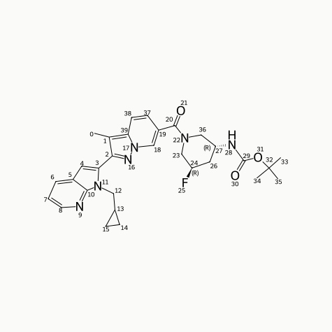 Cc1c(-c2cc3cccnc3n2CC2CC2)nn2cc(C(=O)N3C[C@H](F)C[C@@H](NC(=O)OC(C)(C)C)C3)ccc12